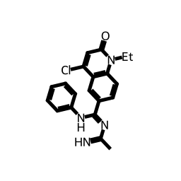 CCn1c(=O)cc(Cl)c2cc(/C(=N/C(C)=N)Nc3ccccc3)ccc21